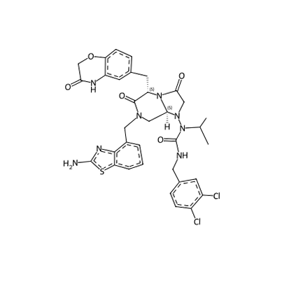 CC(C)N(C(=O)NCc1ccc(Cl)c(Cl)c1)N1CC(=O)N2[C@@H](Cc3ccc4c(c3)NC(=O)CO4)C(=O)N(Cc3cccc4sc(N)nc34)C[C@@H]21